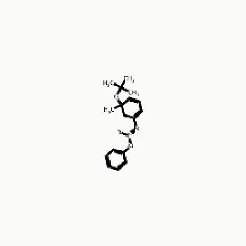 CC(C)(C)OC1(C)C=CC=C(/N=[P+](\[O-])Oc2ccccc2)C1